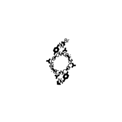 CC(C)C[C@H]1CO[C@H](C)CN(C)[C@@H](CC(C)C)CO[C@H](Cc2ccc(Cn3cccn3)cc2)CN(C)[C@@H](CC(C)C)CO[C@H](C)CN(C)[C@@H](CC(C)C)CO[C@H](Cc2ccc(Cn3cc(Br)cn3)cc2)CN1C